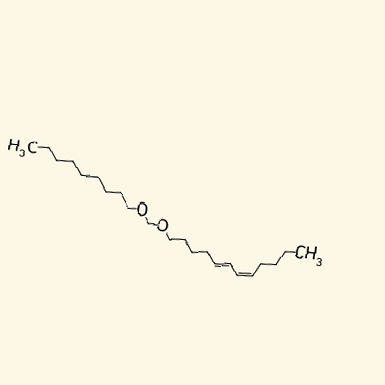 CCCC/C=C\C=C\CCCCOCOCCCCCCCCC